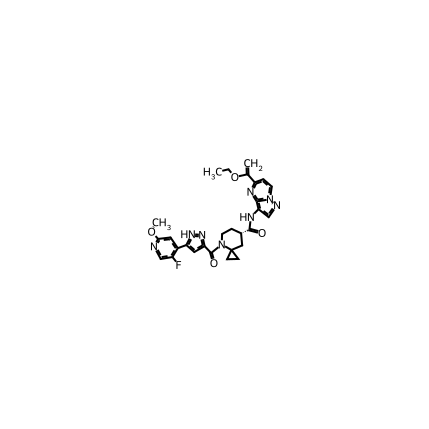 C=C(OCC)c1ccn2ncc(NC(=O)[C@H]3CCN(C(=O)c4cc(-c5cc(OC)ncc5F)[nH]n4)C4(CC4)C3)c2n1